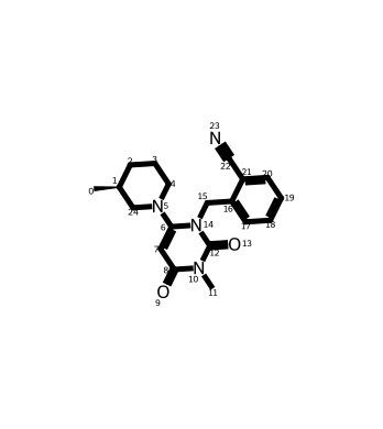 C[C@H]1CCCN(c2cc(=O)n(C)c(=O)n2Cc2ccccc2C#N)C1